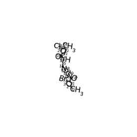 Cc1ccc(Br)c(C(=O)N2CC3CN(CCCNC(=O)c4ccc(C)c(Cl)c4)CC3C2)c1